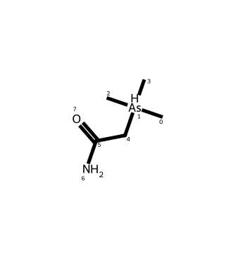 C[AsH](C)(C)CC(N)=O